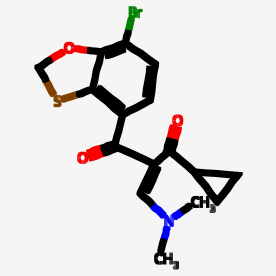 CN(C)C=C(C(=O)c1ccc(Br)c2c1SCO2)C(=O)C1CC1